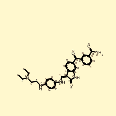 CCN(CC)CCNc1ccc(N/C=C2\C(=O)Nc3cc(C(=O)c4cccc(C(N)=O)c4)ccc32)cc1